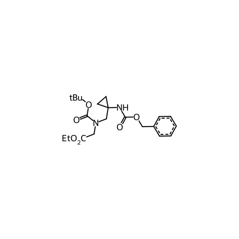 CCOC(=O)CN(CC1(NC(=O)OCc2ccccc2)CC1)C(=O)OC(C)(C)C